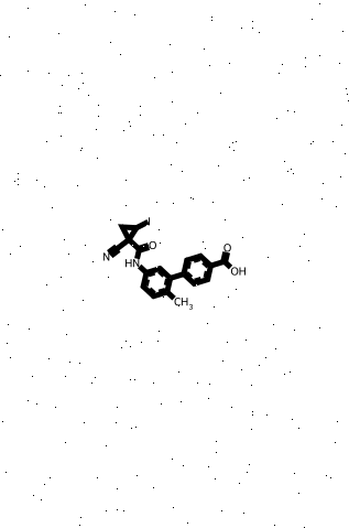 Cc1ccc(NC(=O)C2(C#N)CC2I)cc1-c1ccc(C(=O)O)cc1